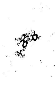 O=c1[nH]ccc2c(Nc3c(Cl)cc(F)cc3Cl)nc3ccc(NCC4(CO)COC4)cc3c12